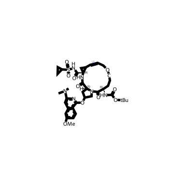 COc1ccc2c(OC3C[C@H]4C(=O)N[C@]5(C(=O)NS(=O)(=O)C6CC6)CC5/C=C\COCCC[C@H](NC(=O)OC(C)(C)C)C(=O)N4C3)nc(N(C)C)cc2c1